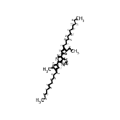 CCCCCCCCCCCCc1cc(-c2ncc(-c3cc(CCCCCCCCCCCC)c(CC)s3)c3snnc23)sc1C